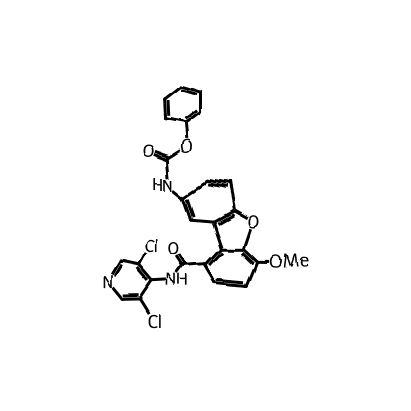 COc1ccc(C(=O)Nc2c(Cl)cncc2Cl)c2c1oc1ccc(NC(=O)Oc3ccccc3)cc12